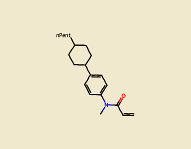 C=CC(=O)N(C)c1ccc(C2CCC(CCCCC)CC2)cc1